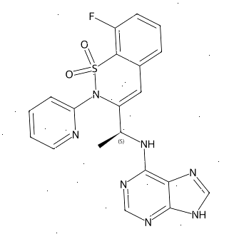 C[C@H](Nc1ncnc2[nH]cnc12)C1=Cc2cccc(F)c2S(=O)(=O)N1c1ccccn1